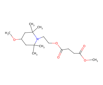 COC(=O)CCC(=O)OCCN1C(C)(C)CC(OC)CC1(C)C